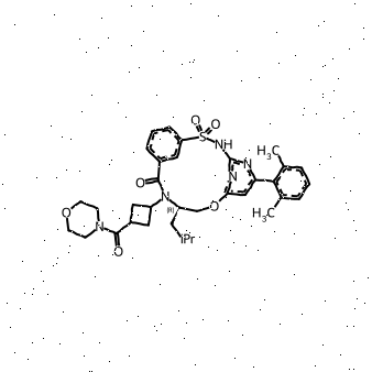 Cc1cccc(C)c1-c1cc2nc(n1)NS(=O)(=O)c1cccc(c1)C(=O)N(C1CC(C(=O)N3CCOCC3)C1)[C@H](CC(C)C)CO2